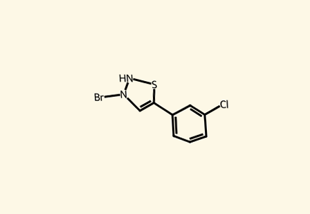 Clc1cccc(C2=CN(Br)NS2)c1